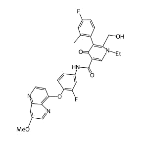 CCn1cc(C(=O)Nc2ccc(Oc3ccnc4cc(OC)cnc34)c(F)c2)c(=O)c(-c2ccc(F)cc2C)c1CO